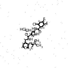 C/C(=N\c1ccccc1CNC(=O)c1cc(NC(=O)c2cc(F)c(F)cc2Cl)[nH]n1)N(C)C.Cl.Cl